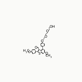 COc1ccc(-c2sc3cc(OC)cc(-c4ccc(OCCOCCOCCO)cc4)c3c2C=O)cc1